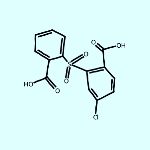 O=C(O)c1ccccc1S(=O)(=O)c1cc(Cl)ccc1C(=O)O